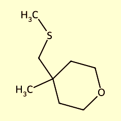 CSCC1(C)CCOCC1